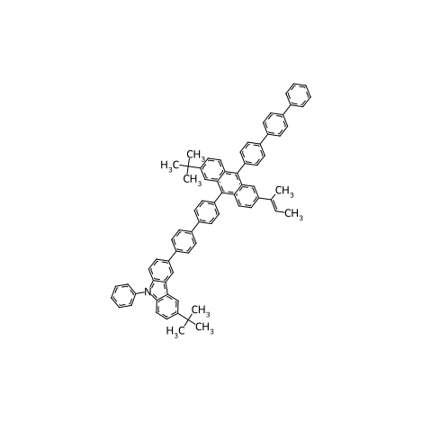 C/C=C(\C)c1ccc2c(-c3ccc(-c4ccc(-c5ccc6c(c5)c5cc(C(C)(C)C)ccc5n6-c5ccccc5)cc4)cc3)c3cc(C(C)(C)C)ccc3c(-c3ccc(-c4ccc(-c5ccccc5)cc4)cc3)c2c1